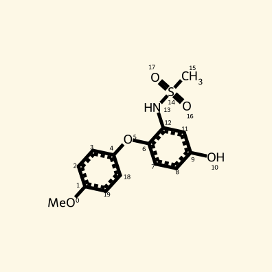 COc1ccc(Oc2ccc(O)cc2NS(C)(=O)=O)cc1